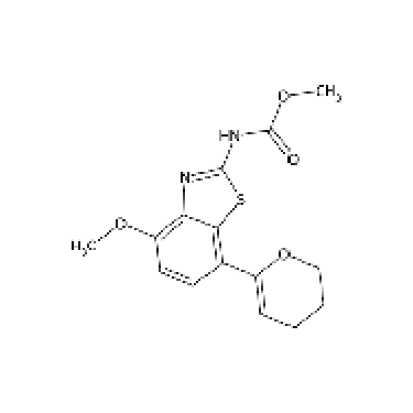 COC(=O)Nc1nc2c(OC)ccc(C3=CCCCO3)c2s1